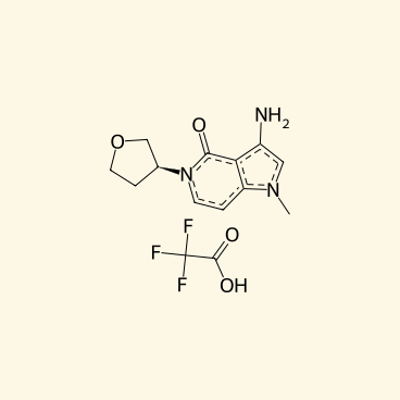 Cn1cc(N)c2c(=O)n([C@H]3CCOC3)ccc21.O=C(O)C(F)(F)F